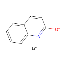 [Li+].[O-]c1ccc2ccccc2n1